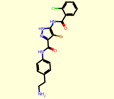 NCCc1ccc(NC(=O)c2n[nH]c(NC(=O)c3ccccc3Cl)c2Br)cc1